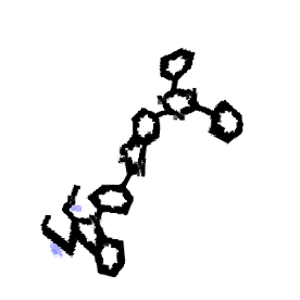 C/B=C\c1c(/C=C\C)c2ccccc2n1-c1ccc(-c2nc3cc(-c4nc(-c5ccccc5)nc(-c5ccccc5)n4)ccc3s2)cc1